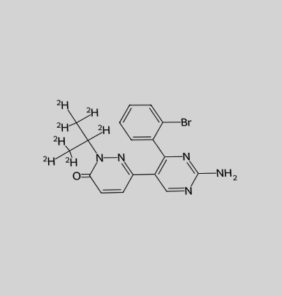 [2H]C([2H])([2H])C([2H])(n1nc(-c2cnc(N)nc2-c2ccccc2Br)ccc1=O)C([2H])([2H])[2H]